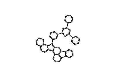 c1ccc(-c2nc(-c3ccccc3)nc(-c3cccc(-n4c5cc6c7c(cccc7c5c5ccc7ccccc7c54)-c4ccccc4-6)c3)n2)cc1